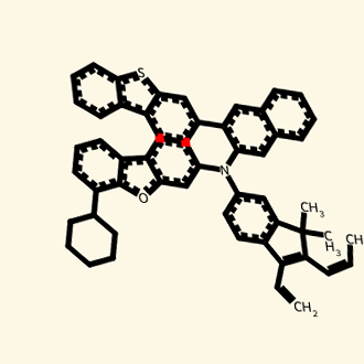 C=CC1=C(/C=C\C)C(C)(C)c2cc(N(c3ccc4c(c3)oc3c(C5CCCCC5)cccc34)c3cc4ccccc4cc3-c3ccc4c(c3)sc3ccccc34)ccc21